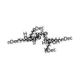 CCCCCCCCCCCCCCC(O)CN(CCN(C)CCC(=O)N(C)CCN(C)C(=O)CCN(C)CCN(CC(O)CCCCCCCCCCCCCC)CC(O)CCCCCCCCCCCCCC)CC(O)CCCCCCCCCCCCCC